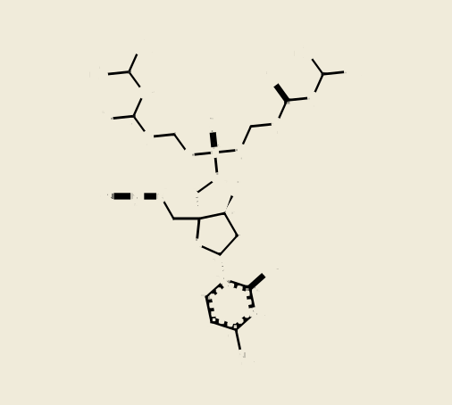 CC(C)OC(=O)OCOP(=O)(OCOC(O)OC(C)C)OC[C@@]1(CN=[N+]=[N-])O[C@@H](n2ccc(N)nc2=O)C[C@@H]1O